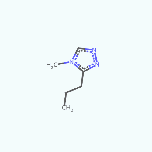 C[CH]Cc1nncn1C